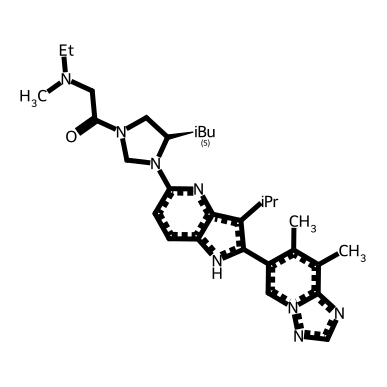 CC[C@H](C)C1CN(C(=O)CN(C)CC)CN1c1ccc2[nH]c(-c3cn4ncnc4c(C)c3C)c(C(C)C)c2n1